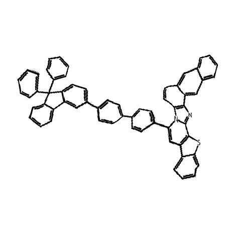 c1ccc(C2(c3ccccc3)c3ccccc3-c3cc(-c4ccc(-c5ccc(-c6cc7c8ccccc8sc7c7nc8c9cc%10ccccc%10cc9ccc8n67)cc5)cc4)ccc32)cc1